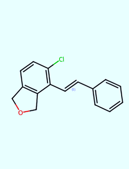 Clc1ccc2c(c1/C=C/c1ccccc1)COC2